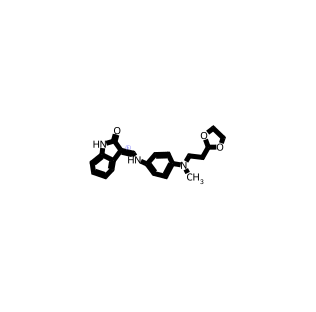 CN(CCC1OCCO1)c1ccc(N/C=C2/C(=O)Nc3ccccc32)cc1